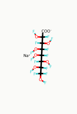 O=C([O-])C(F)(OF)C(F)(OF)C(F)(OF)C(F)(OF)C(F)(OF)C(F)(OF)C(F)(F)OF.[Na+]